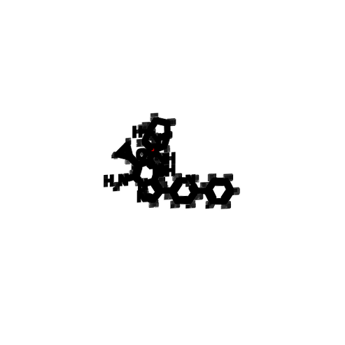 Nc1c(C2CC2)c(C2CC3CC[C@@H](C2)N3C(=O)NO)nc2c(-c3ccc(-c4ccccc4)nc3)cnn12